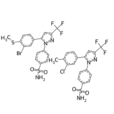 CSc1ccc(-c2cc(C(F)(F)F)nn2-c2ccc(S(N)(=O)=O)cc2)cc1Br.Cc1ccc(-c2cc(C(F)(F)F)nn2-c2ccc(S(N)(=O)=O)cc2)cc1Cl